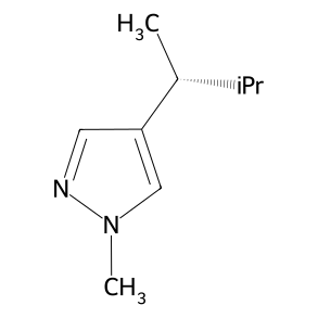 CC(C)[C@@H](C)c1cnn(C)c1